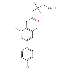 Cc1cc(-c2ccc(Cl)cc2)cc(C)c1CC(=O)CC(C)(C)CC(=O)O